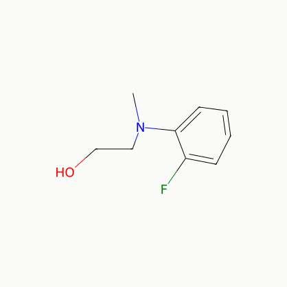 CN(CCO)c1ccccc1F